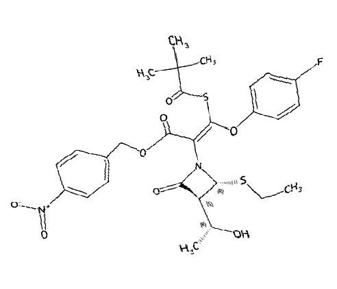 CCS[C@@H]1[C@@H]([C@@H](C)O)C(=O)N1C(C(=O)OCc1ccc([N+](=O)[O-])cc1)=C(Oc1ccc(F)cc1)SC(=O)C(C)(C)C